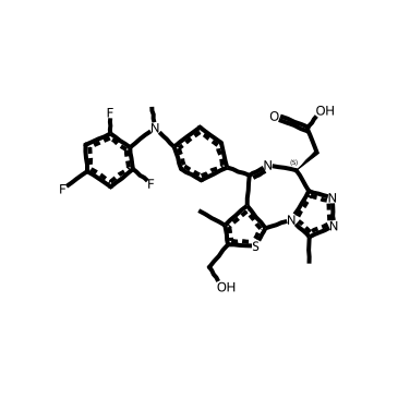 Cc1c(CO)sc2c1C(c1ccc(N(C)c3c(F)cc(F)cc3F)cc1)=N[C@@H](CC(=O)O)c1nnc(C)n1-2